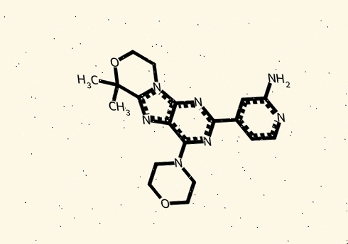 CC1(C)OCCn2c1nc1c(N3CCOCC3)nc(-c3ccnc(N)c3)nc12